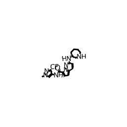 Cn1cc(NC(=O)c2ccc3ccc(N[C@H]4CCCCNC4)nn23)c(C(F)(F)F)n1